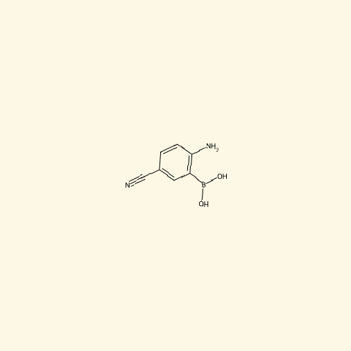 N#Cc1ccc(N)c(B(O)O)c1